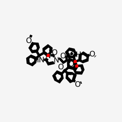 COc1ccc(C(Nc2ccn([C@@H]3O[C@H](CO)[C@@H](OC(c4ccccc4)(c4ccccc4)c4ccc(OC)cc4)[C@@H]3OC(c3ccccc3)(c3ccccc3)c3ccc(OC)cc3)c(=O)n2)(c2ccccc2)c2ccccc2)cc1